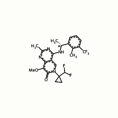 COc1c(=O)n(C2(C(F)F)CC2)cc2c(N[C@H](C)c3cccc(C(F)(F)F)c3C)nc(C)nc12